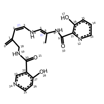 C=C(/C=C\N/C=C(\C)NC(=O)c1ncccc1O)CNC(=O)c1cnccc1O